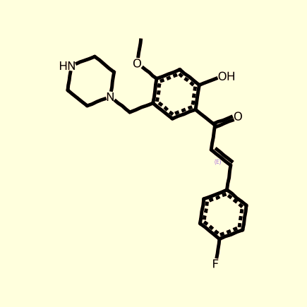 COc1cc(O)c(C(=O)/C=C/c2ccc(F)cc2)cc1CN1CCNCC1